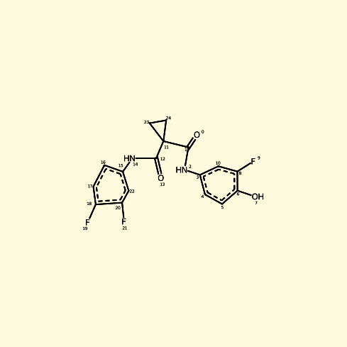 O=C(Nc1ccc(O)c(F)c1)C1(C(=O)Nc2ccc(F)c(F)c2)CC1